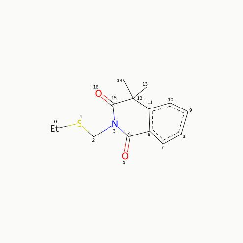 CCSCN1C(=O)c2ccccc2C(C)(C)C1=O